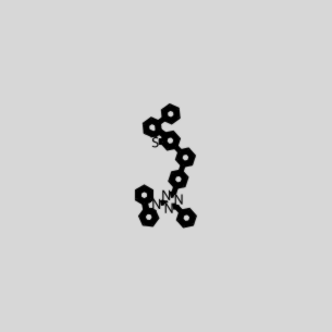 c1ccc(-c2nc(-c3ccc(-c4cccc(-c5ccc6c(c5)sc5cccc(-c7ccccc7)c56)c4)cc3)nc(-n3c4ccccc4c4ccccc43)n2)cc1